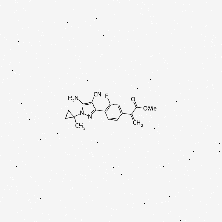 C=C(C(=O)OC)c1ccc(-c2nn(C3(C)CC3)c(N)c2C#N)c(F)c1